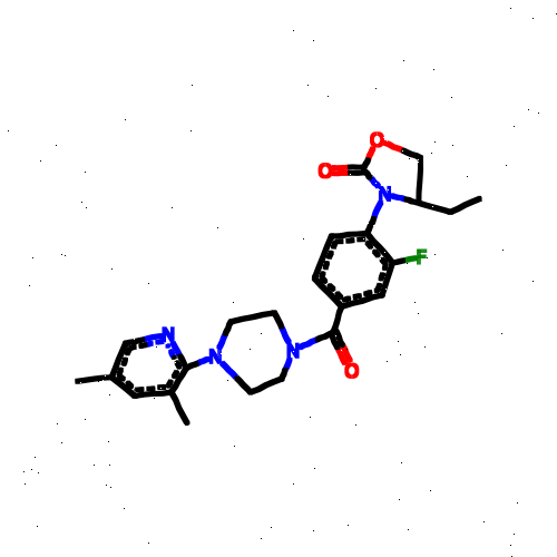 CCC1COC(=O)N1c1ccc(C(=O)N2CCN(c3ncc(C)cc3C)CC2)cc1F